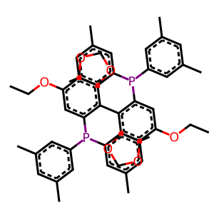 CCOc1cc(P(c2cc(C)cc(C)c2)c2cc(C)cc(C)c2)c(-c2c(P(c3cc(C)cc(C)c3)c3cc(C)cc(C)c3)cc(OCC)c3c2OCO3)c2c1OCO2